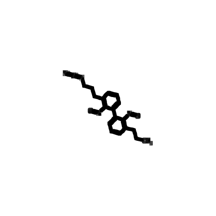 CCCc1cccc(-c2cccc(CCCN=[N+]=[N-])c2N=O)c1N=O